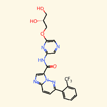 O=C(Nc1cncc(OC[C@H](O)CO)n1)c1cnc2ccc(-c3ccccc3C(F)(F)F)nn12